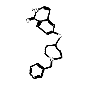 O=c1[nH]ccc2cc(OC3CCN(Cc4ccccc4)CC3)ccc12